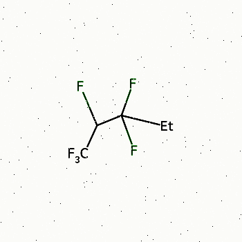 CCC(F)(F)C(F)C(F)(F)F